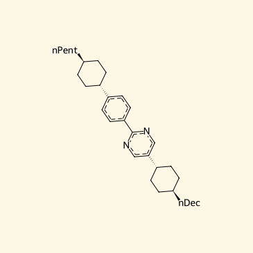 CCCCCCCCCC[C@H]1CC[C@H](c2cnc(-c3ccc([C@H]4CC[C@H](CCCCC)CC4)cc3)nc2)CC1